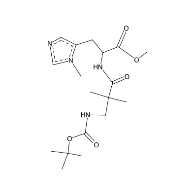 COC(=O)C(Cc1cncn1C)NC(=O)C(C)(C)CNC(=O)OC(C)(C)C